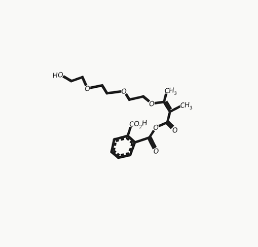 CC(OCCOCCOCCO)=C(C)C(=O)OC(=O)c1ccccc1C(=O)O